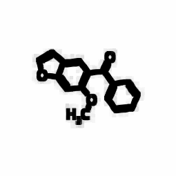 COc1cc2occc2cc1C(=O)c1ccccc1